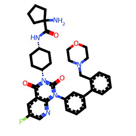 NC1(C(=O)N[C@H]2CC[C@@H](n3c(=O)c4cc(F)cnc4n(-c4cccc(-c5ccccc5CN5CCOCC5)c4)c3=O)CC2)CCCC1